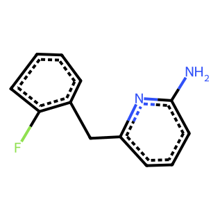 Nc1cccc(Cc2ccccc2F)n1